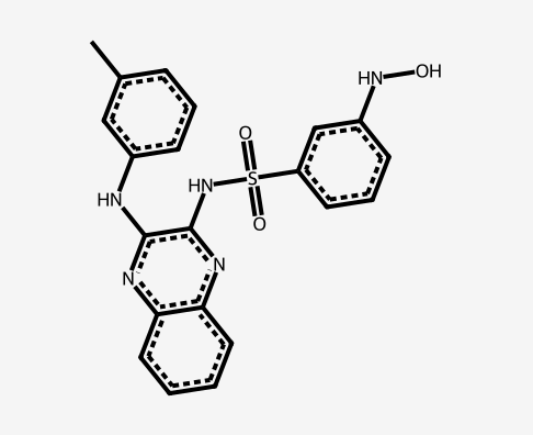 Cc1cccc(Nc2nc3ccccc3nc2NS(=O)(=O)c2cccc(NO)c2)c1